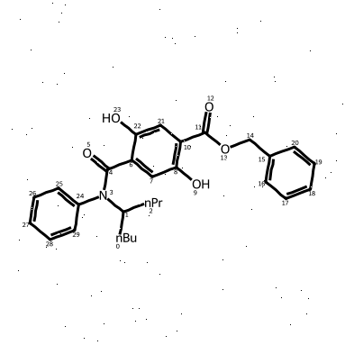 CCCCC(CCC)N(C(=O)c1cc(O)c(C(=O)OCc2ccccc2)cc1O)c1ccccc1